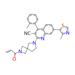 C=CC(=O)N1CC2(CCN(c3nc4cc(-c5scnc5C)ccc4c(-c4ccccc4C)c3C#N)C2)C1